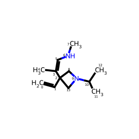 C=CC1(/C(C)=C\NC)CN(C(C)C)C1